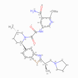 COc1ncc(NC(=O)C(=O)N2C[C@@H](C)CC[C@@H]2c2ccc3sc([C@H](C)CN4CCCC4)nc3c2)cc1C(N)=O